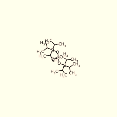 CC(C)[Si](OS(=O)(=O)O[Si](C(C)C)(C(C)C)C(C)C)(C(C)C)C(C)C